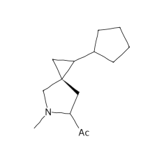 CC(=O)C1C[C@]2(CC2C2CCCC2)CN1C